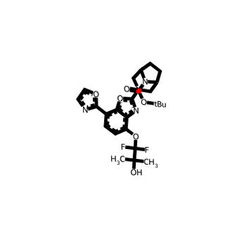 CC(C)(C)OC(=O)N1C2CCC1CN(c1nc3c(OC(F)(F)C(C)(C)O)ccc(-c4ncco4)c3o1)C2